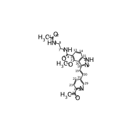 COc1c(C(=O)NCCNC(C)=O)ccc2[nH]nc(/C=C/c3ccc(C(C)=O)nc3)c12